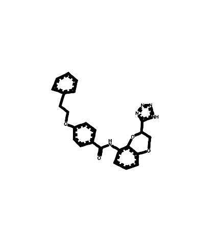 O=C(Nc1cccc2c1OC(c1nnn[nH]1)CO2)c1ccc(OCCc2ccccc2)cc1